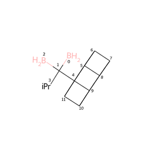 BC(B)(C(C)C)C12C3C4C5C3C1C5C42